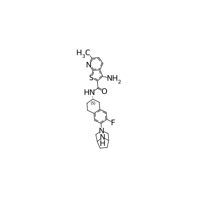 Cc1ccc2c(N)c(C(=O)N[C@H]3CCc4cc(N5CC6CCC(C5)N6)c(F)cc4C3)sc2n1